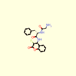 NCC(=O)N[C@@H](Cc1ccccc1)C(=O)Nc1c(F)c(=O)oc2ccccc12